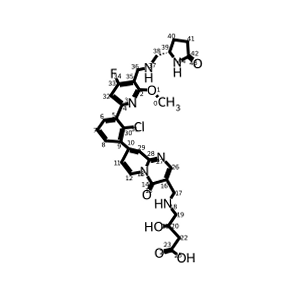 COc1nc(-c2cccc(-c3ccn4c(=O)c(CNCC(O)CC(=O)O)cnc4c3)c2Cl)cc(F)c1CNC[C@@H]1CCC(=O)N1